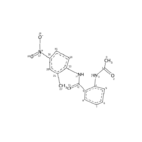 CC(=O)Nc1ccccc1C(=O)Nc1ccc([N+](=O)[O-])cc1C